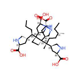 CCC[C@H]([C@H]1CN[C@H](C(=O)O)C1)[C@@]1([C@@H]2CN[C@H](C(=O)O)C2)CC[C@]1([C@@H]1CN[C@@H](C(=O)O)C1)[C@](C)(CC[C@@H](C)CC)[C@H]1CN[C@@H](C(=O)O)C1